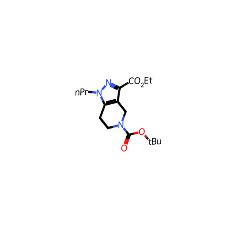 CCCn1nc(C(=O)OCC)c2c1CCN(C(=O)OC(C)(C)C)C2